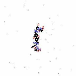 CCCC[C@H](NC(=O)[C@@H](NC(=O)OC)C(C)C)c1ncc(-c2cc3c4c(c2)OCc2cc(-c5cnc([C@@H]6C[C@H](COC)CN6C(=O)[C@@H](NC(=O)OC)C(C)C)[nH]5)cc(c2-4)OC3)[nH]1